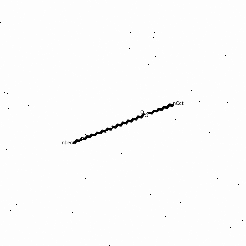 CCCCCCCC/C=C/CCCCCCCCOC(=O)CCCCCCCCCCCCCCCCCCCCCCCCCCCCCCCCCCCCC